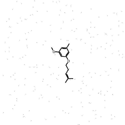 COc1cc(C)cc(OCCC=C(C)C)c1